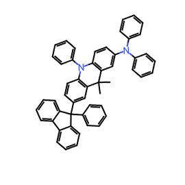 CC1(C)c2cc(N(c3ccccc3)c3ccccc3)ccc2N(c2ccccc2)c2ccc(C3(c4ccccc4)c4ccccc4-c4ccccc43)cc21